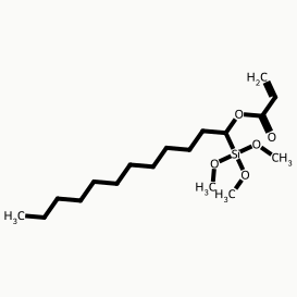 C=CC(=O)OC(CCCCCCCCCCC)[Si](OC)(OC)OC